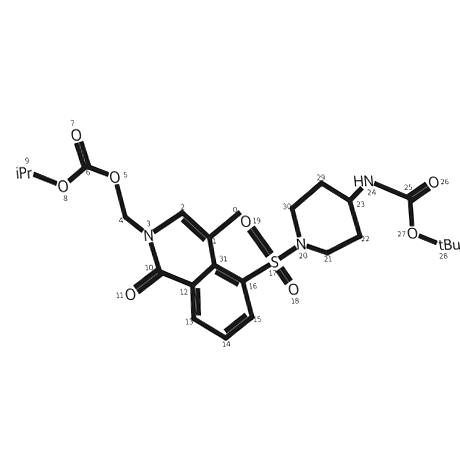 Cc1cn(COC(=O)OC(C)C)c(=O)c2cccc(S(=O)(=O)N3CCC(NC(=O)OC(C)(C)C)CC3)c12